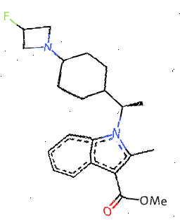 COC(=O)c1c(C)n([C@H](C)C2CCC(N3CC(F)C3)CC2)c2ccccc12